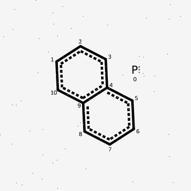 [P].c1ccc2ccccc2c1